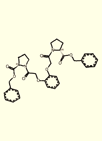 O=C(OCc1ccccc1)[C@H]1CCCN1C(=O)COc1ccccc1OCC(=O)N1CCC[C@@H]1C(=O)OCc1ccccc1